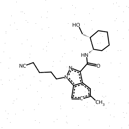 Cc1ccc2c(c1)c(C(=O)N[C@H]1CCCC[C@H]1CO)nn2CCCCC#N